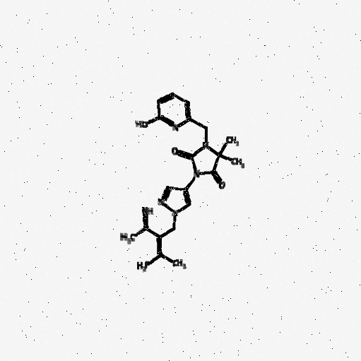 CC(=N)/C(Cn1cc(N2C(=O)N(Cc3cccc(O)n3)C(C)(C)C2=O)cn1)=C(/C)P